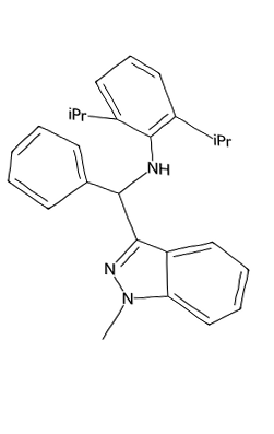 CC(C)c1cccc(C(C)C)c1NC(c1ccccc1)c1nn(C)c2ccccc12